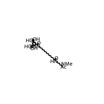 CN[C@@H](CCCCNC(=O)CCCCCCCCCCCCCCNC(=O)c1cc(B(O)O)cc(B(O)O)c1)C(C)=O